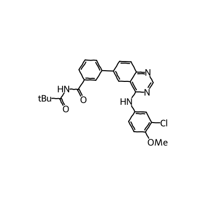 COc1ccc(Nc2ncnc3ccc(-c4cccc(C(=O)NC(=O)C(C)(C)C)c4)cc23)cc1Cl